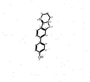 Oc1ccc(-c2ccc3c(c2)SN2CCCN=C32)cc1